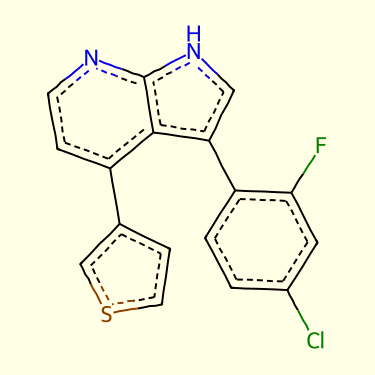 Fc1cc(Cl)ccc1-c1c[nH]c2nccc(-c3ccsc3)c12